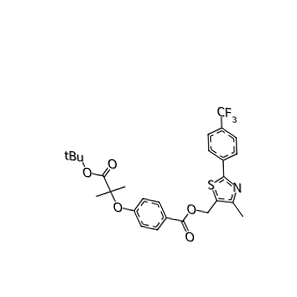 Cc1nc(-c2ccc(C(F)(F)F)cc2)sc1COC(=O)c1ccc(OC(C)(C)C(=O)OC(C)(C)C)cc1